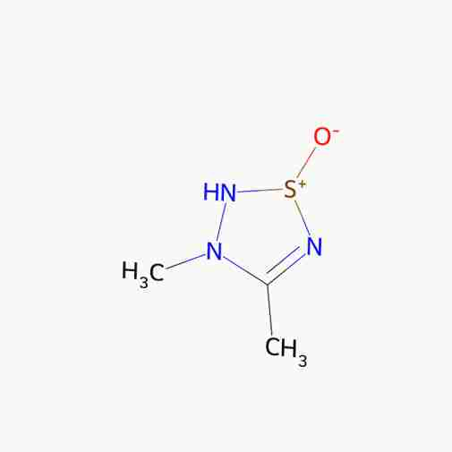 CC1=N[S+]([O-])NN1C